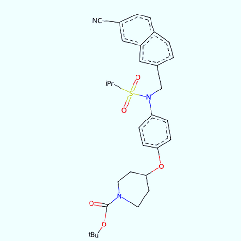 CC(C)S(=O)(=O)N(Cc1ccc2ccc(C#N)cc2c1)c1ccc(OC2CCN(C(=O)OC(C)(C)C)CC2)cc1